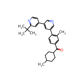 Cc1cc(C(=O)C2CCC(C)CC2)ccc1-c1cncc(-c2ccnc(C(C)(C)C)c2)c1